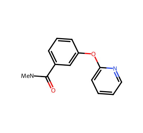 CNC(=O)c1cccc(Oc2ccccn2)c1